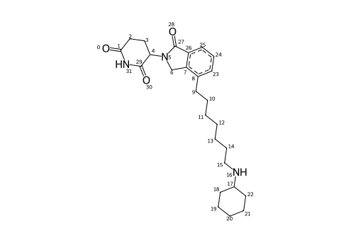 O=C1CCC(N2Cc3c(CCCCCCCNC4CCCCC4)cccc3C2=O)C(=O)N1